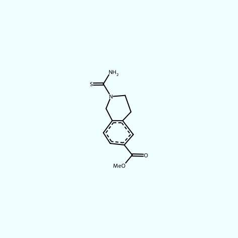 COC(=O)c1ccc2c(c1)CCN(C(N)=S)C2